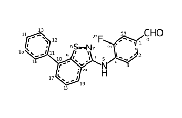 O=Cc1ccc(Nc2nsc3c(-c4ccccc4)cccc23)c(F)c1